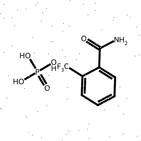 NC(=O)c1ccccc1C(F)(F)F.O=P(O)(O)O